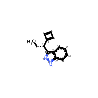 CC[C@H](C1=CC=C1)c1n[nH]c2ccccc12